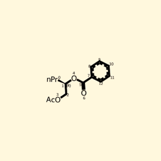 CCC[C@H](COC(C)=O)OC(=O)c1ccccc1